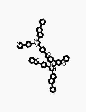 c1ccc(-c2ccc3cc(-c4cc(-c5ccc(-c6cc7ccc(-c8cc9c(cc8-c8nc(-c%10ccc(-c%11cc%12ccccc%12o%11)cc%10)cc(-c%10ccc%11cc(-c%12ccccc%12)ccc%11c%10)n8)oc8ccccc89)cc7o6)cc5)nc(-c5ccc(-c6cccnc6)cc5)n4)ccc3c2)cc1